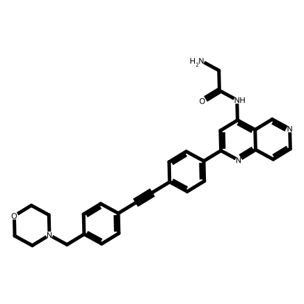 NCC(=O)Nc1cc(-c2ccc(C#Cc3ccc(CN4CCOCC4)cc3)cc2)nc2ccncc12